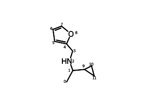 CC(NCc1ccco1)C1CC1